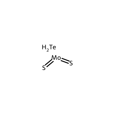 [S]=[Mo]=[S].[TeH2]